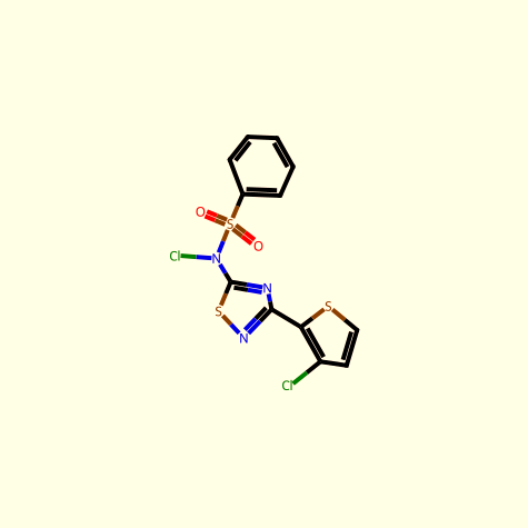 O=S(=O)(c1ccccc1)N(Cl)c1nc(-c2sccc2Cl)ns1